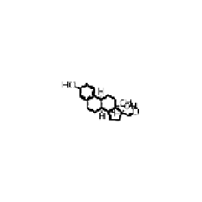 C[C@]12CC[C@@H]3c4ccc(O)cc4CC[C@H]3[C@@H]1CC[C@@]2(O)C=O